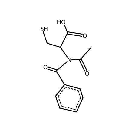 CC(=O)N(C(=O)c1ccccc1)C(CS)C(=O)O